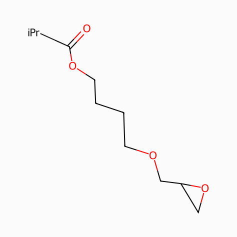 CC(C)C(=O)OCCCCOCC1CO1